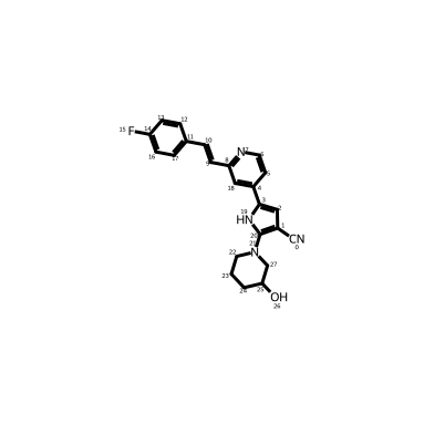 N#Cc1cc(-c2ccnc(/C=C/c3ccc(F)cc3)c2)[nH]c1N1CCCC(O)C1